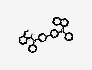 CC/C(=c1/cccc/c1=C/I)N(C1=CCC(c2ccc(N(c3ccccc3)c3cccc4ccccc34)cc2)C=C1)c1ccccc1